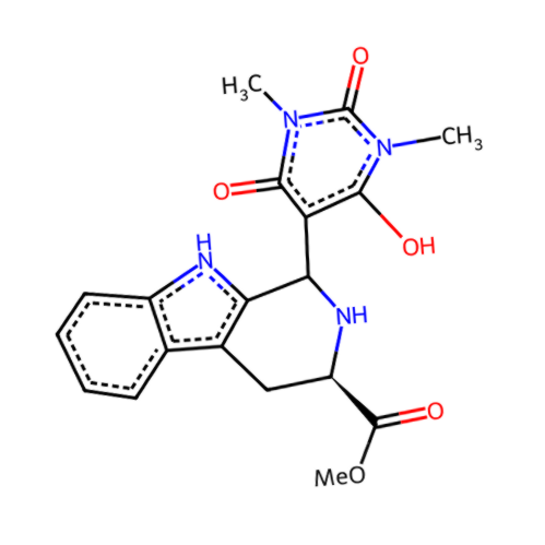 COC(=O)[C@H]1Cc2c([nH]c3ccccc23)C(c2c(O)n(C)c(=O)n(C)c2=O)N1